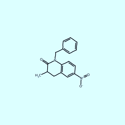 CC1Cc2cc([N+](=O)[O-])ccc2N(Cc2ccccc2)C1=O